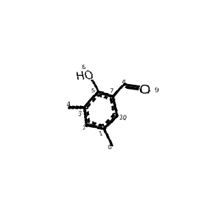 Cc1cc(C)c(O)c(C=O)c1